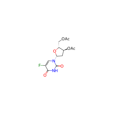 CC(=O)OC[C@H]1O[C@@H](n2cc(F)c(=O)[nH]c2=O)C[C@@H]1OC(C)=O